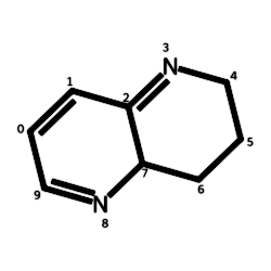 C1=CC2=NCCCC2N=C1